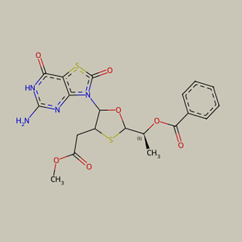 COC(=O)CC1SC([C@H](C)OC(=O)c2ccccc2)OC1n1c(=O)sc2c(=O)[nH]c(N)nc21